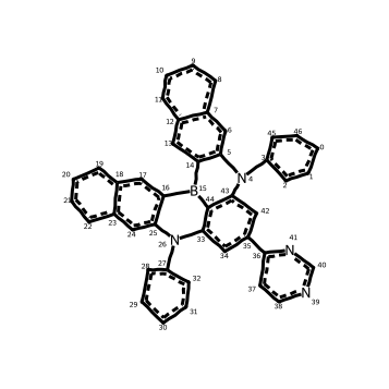 c1ccc(N2c3cc4ccccc4cc3B3c4cc5ccccc5cc4N(c4ccccc4)c4cc(-c5ccncn5)cc2c43)cc1